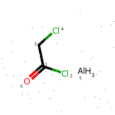 O=C(Cl)CCl.[AlH3]